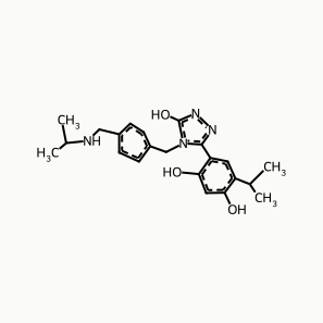 CC(C)NCc1ccc(Cn2c(O)nnc2-c2cc(C(C)C)c(O)cc2O)cc1